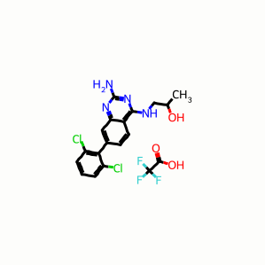 CC(O)CNc1nc(N)nc2cc(-c3c(Cl)cccc3Cl)ccc12.O=C(O)C(F)(F)F